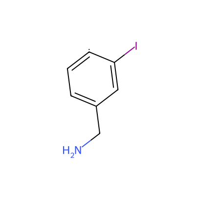 NCc1cc[c]c(I)c1